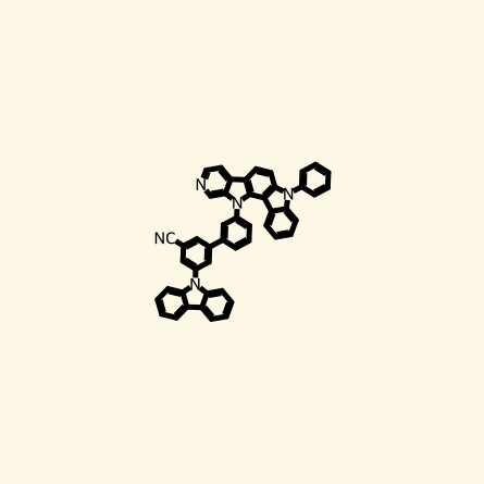 N#Cc1cc(-c2cccc(-n3c4cnccc4c4ccc5c(c6ccccc6n5-c5ccccc5)c43)c2)cc(-n2c3ccccc3c3ccccc32)c1